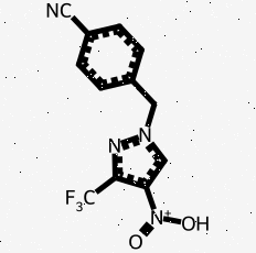 N#Cc1ccc(Cn2cc([N+](=O)O)c(C(F)(F)F)n2)cc1